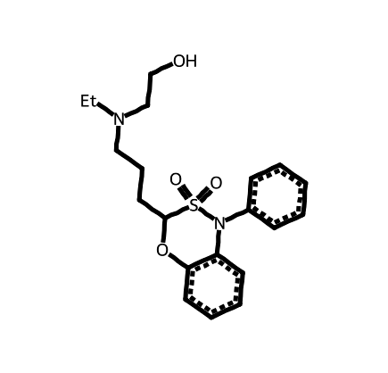 CCN(CCO)CCCC1Oc2ccccc2N(c2ccccc2)S1(=O)=O